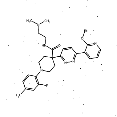 CCOc1ncccc1-c1ccc(C2(C(=O)NCCN(C)C)CCN(c3ccc(C(F)(F)F)cc3F)CC2)nn1